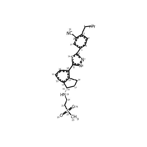 CC(C)Cc1ccc(-c2nnc(-c3cccc4c3CC[C@@H]4NCCS(C)(=O)=O)s2)cc1C#N